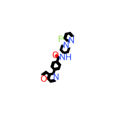 O=C(NC1CCN(c2ncccc2F)CC1)c1ccc(-c2nccc3occc23)cc1